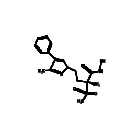 Cc1nn(CC[C@](C)(C(=O)NO)S(C)(=O)=O)cc1-c1ccccc1